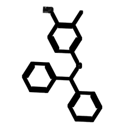 Cc1cc(OC(c2ccccc2)c2ccccc2)ccc1O